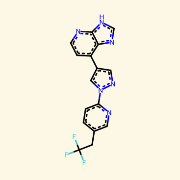 FC(F)(F)Cc1ccc(-n2cc(-c3ccnc4[nH]cnc34)cn2)nc1